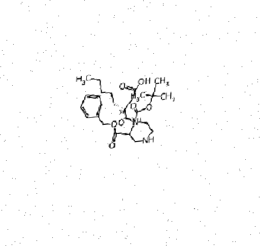 CCCCC[C@H](CC(=O)O)C(=O)[N@@+]1(C(=O)OC(C)(C)C)CCNCC1C(=O)OCc1ccccc1